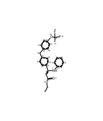 CCOC(=O)/C=C(\Nc1ccccc1)c1ccc(Cc2ccc(OC(F)(F)F)cc2)cc1